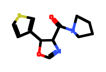 O=C(C1N=COC1c1ccsc1)N1CCCC1